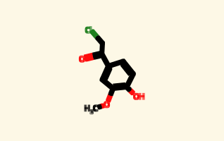 COc1cc(C(=O)CCl)ccc1O